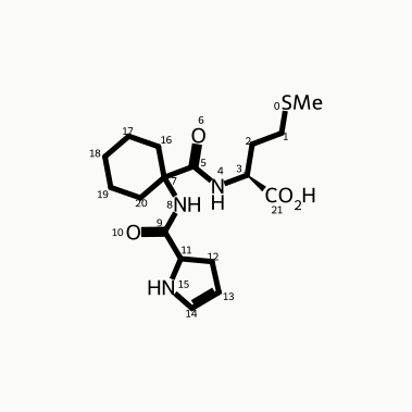 CSCC[C@H](NC(=O)C1(NC(=O)C2CC=CN2)CCCCC1)C(=O)O